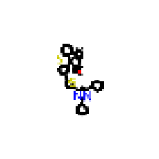 c1ccc(-c2cc(-c3ccc(-c4ccc5c(c4)C4(c6ccccc6S5)c5ccccc5-c5ccccc54)s3)nc(-c3ccccc3)n2)cc1